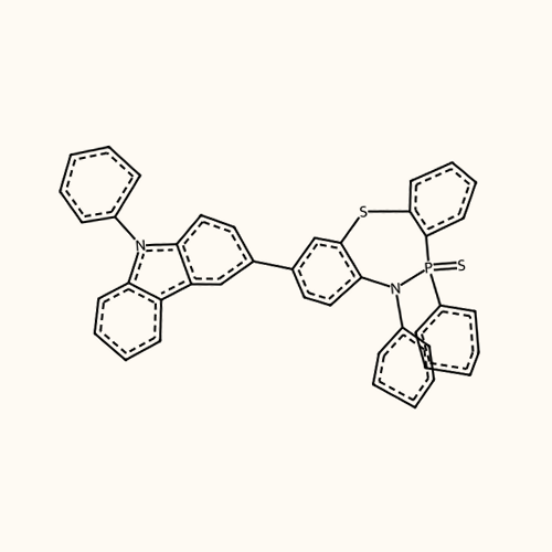 S=P1(c2ccccc2)c2ccccc2Sc2cc(-c3ccc4c(c3)c3ccccc3n4-c3ccccc3)ccc2N1c1ccccc1